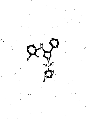 Cn1cnc(S(=O)(=O)N2CC(Nc3cccc(F)c3F)C(c3ccccc3)C2)c1